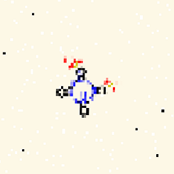 O=S(=O)(O)c1ccc2c(c1)-c1nc-2nc2[nH]c(nc3nc(nc4[nH]c(n1)c1ccc(S(=O)(=O)O)cc41)-c1ccccc1-3)c1ccccc21